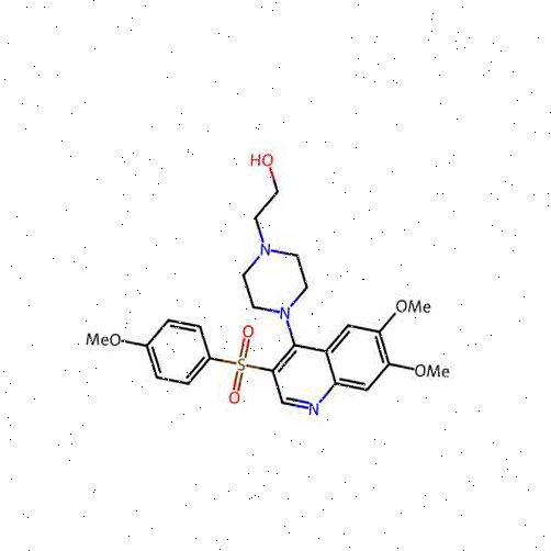 COc1ccc(S(=O)(=O)c2cnc3cc(OC)c(OC)cc3c2N2CCN(CCO)CC2)cc1